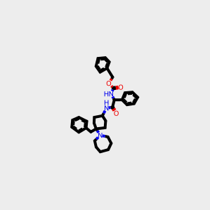 O=C(NC(C(=O)NC1CCC(Cc2ccccc2)(N2CCCCCC2)CC1)c1ccccc1)OCc1ccccc1